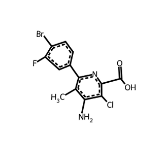 Cc1c(-c2ccc(Br)c(F)c2)nc(C(=O)O)c(Cl)c1N